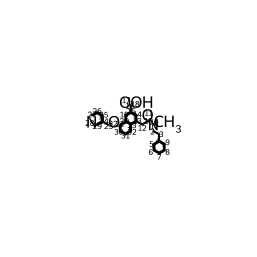 CN(CCc1ccccc1)C(=O)Cc1cc(C(=O)O)cc2c(OCc3cccnc3)cccc12